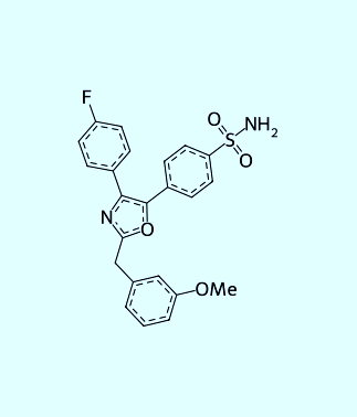 COc1cccc(Cc2nc(-c3ccc(F)cc3)c(-c3ccc(S(N)(=O)=O)cc3)o2)c1